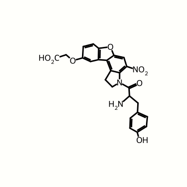 NC(Cc1ccc(O)cc1)C(=O)N1CCc2c1c([N+](=O)[O-])cc1oc3ccc(OCC(=O)O)cc3c21